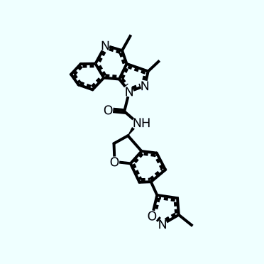 Cc1cc(-c2ccc3c(c2)OC[C@H]3NC(=O)n2nc(C)c3c(C)nc4ccccc4c32)on1